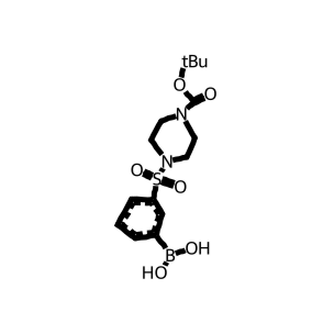 CC(C)(C)OC(=O)N1CCN(S(=O)(=O)c2cccc(B(O)O)c2)CC1